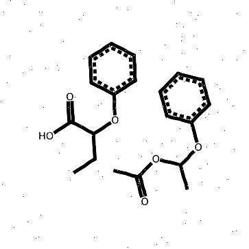 CC(=O)OC(C)Oc1ccccc1.CCC(Oc1ccccc1)C(=O)O